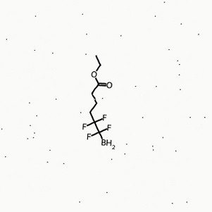 BC(F)(F)C(F)(F)CCCC(=O)OCC